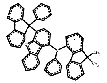 CC1(C)c2ccccc2-c2c(N(c3ccccc3)c3ccc(C4(c5ccccc5)c5ccccc5-c5ccccc54)c4oc5ccccc5c34)cccc21